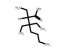 CCCCC(CC)(CC)[C]([Hf])(CC)C(=O)O